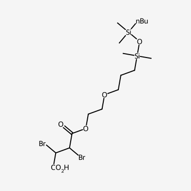 CCCC[Si](C)(C)O[Si](C)(C)CCCOCCOC(=O)C(Br)C(Br)C(=O)O